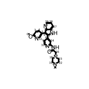 COc1ccc(-c2c(-c3ccnc(NC(=O)CN4CCN(C)CC4)c3)[nH]c3cccnc23)cn1